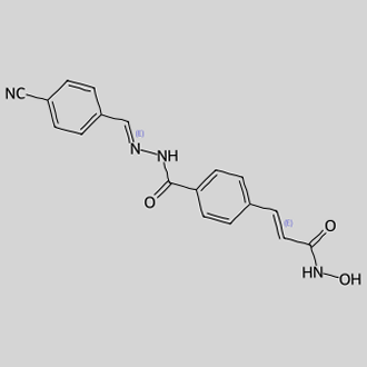 N#Cc1ccc(/C=N/NC(=O)c2ccc(/C=C/C(=O)NO)cc2)cc1